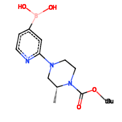 C[C@@H]1CN(c2cc(B(O)O)ccn2)CCN1C(=O)OC(C)(C)C